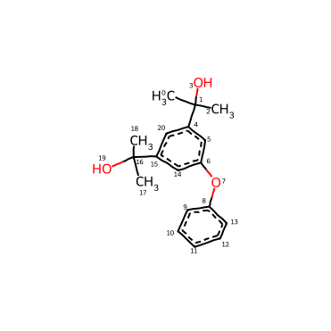 CC(C)(O)c1cc(Oc2ccccc2)cc(C(C)(C)O)c1